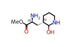 COC(=O)[C@@H](N)C[C@@H]1CCCNC1O